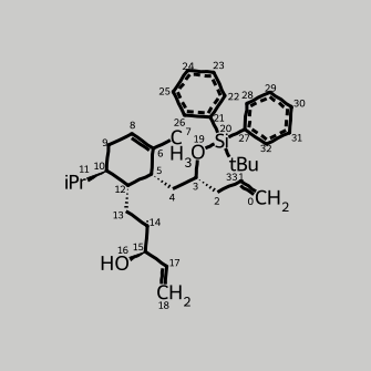 C=CC[C@H](C[C@H]1C(C)=CC[C@H](C(C)C)[C@H]1C[CH][C@H](O)C=C)O[Si](c1ccccc1)(c1ccccc1)C(C)(C)C